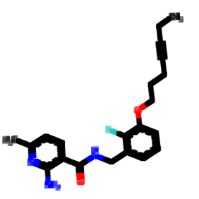 CCC#CCCCOc1cccc(CNC(=O)c2ccc(C)nc2N)c1F